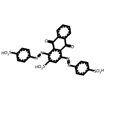 O=C1c2ccccc2C(=O)c2c(/N=N/c3ccc(S(=O)(=O)O)cc3)c(S(=O)(=O)O)cc(/N=N/c3ccc(S(=O)(=O)O)cc3)c21